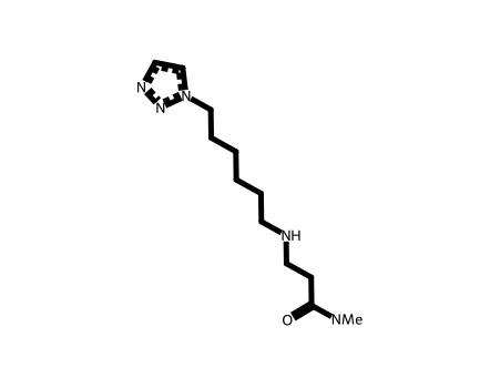 CNC(=O)CCNCCCCCCn1ccnn1